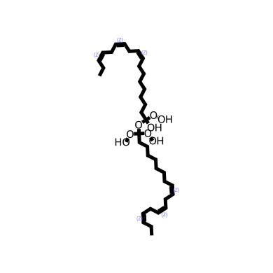 CC/C=C\C/C=C\C/C=C\CCCCCCCC(O)(OO)OC(CCCCCCC/C=C\C/C=C\C/C=C\CC)(OO)OO